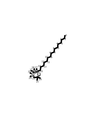 CCCCCCCCCCCCCCCC[Si]1(C)OC(C)(C)C[Si](C)(C)[Si]1(C)C